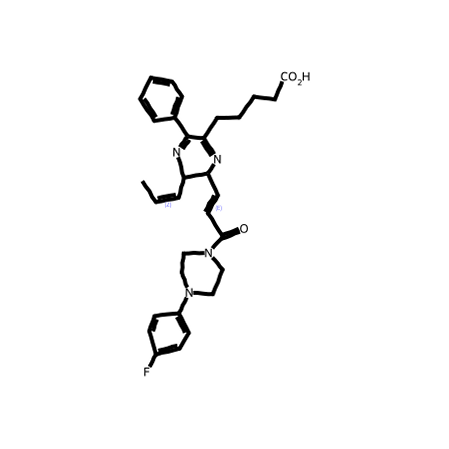 C/C=C\C1N=C(c2ccccc2)C(CCCCC(=O)O)=NC1/C=C/C(=O)N1CCN(c2ccc(F)cc2)CC1